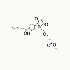 CCCCCC(O)c1ccc(N2C(=O)NC(=O)[C@@H]2CCOCCCC(=O)OCCC)cc1